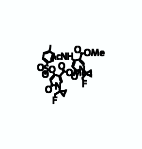 COC(=O)c1cn(C2(CF)CC2)c(=O)cc1NC(C)=O.COC(=O)c1cn(C2(CF)CC2)c(=O)cc1OS(=O)(=O)c1ccc(C)cc1